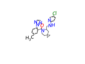 Cc1ccc(-n2nccn2)c(C(=O)N2CCC3(CC3)CC2CNc2ccc(Cl)cn2)c1